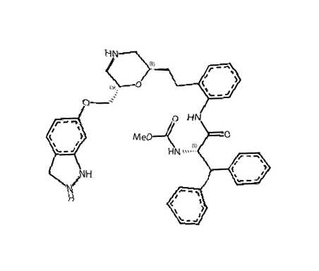 COC(=O)N[C@H](C(=O)Nc1ccccc1CC[C@@H]1CNC[C@@H](COc2ccc3c(c2)NNC3)O1)C(c1ccccc1)c1ccccc1